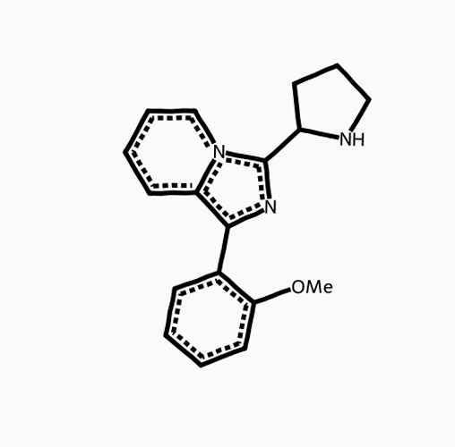 COc1ccccc1-c1nc(C2CCCN2)n2ccccc12